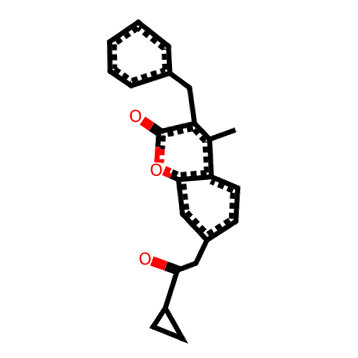 Cc1c(Cc2ccccc2)c(=O)oc2cc(CC(=O)C3CC3)ccc12